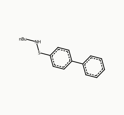 CCCCNSc1ccc(-c2ccccc2)cc1